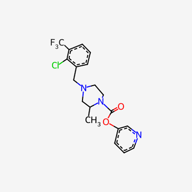 CC1CN(Cc2cccc(C(F)(F)F)c2Cl)CCN1C(=O)Oc1cccnc1